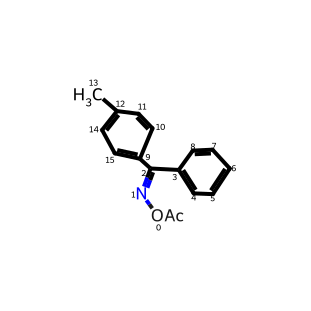 CC(=O)O/N=C(\c1ccccc1)c1ccc(C)cc1